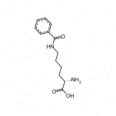 N[C@@H](CCCCNC(=O)c1ccccc1)C(=O)O